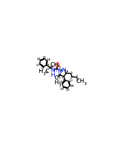 CCCCC1=NN(C(=O)NC(C)(C)c2ccccc2)C(C)C1c1ccccc1